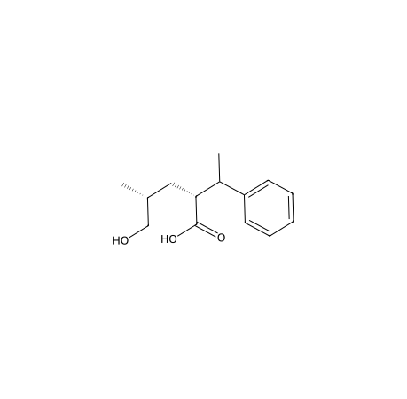 CC(c1ccccc1)[C@@H](C[C@@H](C)CO)C(=O)O